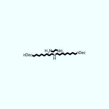 CCCCCCCCCCCCCCCCCCNCCCCCCCCCCCCCCCCCC.NCCN